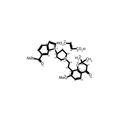 CNC(=O)c1ccc2ccn(C3CCN(CCc4c(OC)ccc5c4OC(C)(C)CC5=O)CC3)c2c1.O=C(O)/C=C/C(=O)O